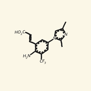 Cc1cn(-c2cc(C=CC(=O)O)c(N)c(C(F)(F)F)c2)c(C)n1